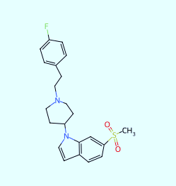 CS(=O)(=O)c1ccc2ccn(C3CCN(CCc4ccc(F)cc4)CC3)c2c1